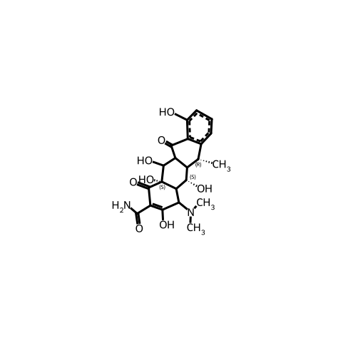 C[C@H]1c2cccc(O)c2C(=O)C2C1[C@H](O)C1C(N(C)C)C(O)=C(C(N)=O)C(=O)[C@@]1(O)C2O